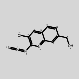 [N-]=[N+]=Nc1nc2cc(CO)ccc2cc1Cl